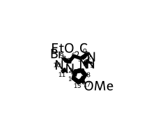 CCOC(=O)c1nnn2c1Cc1c(Br)ncn1-c1ccc(OC)cc1-2